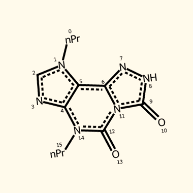 CCCn1cnc2c1c1n[nH]c(=O)n1c(=O)n2CCC